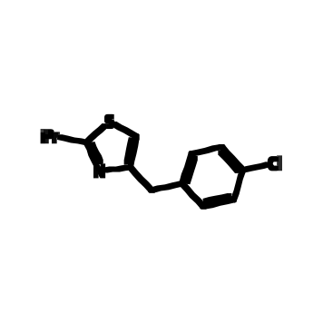 CC(C)c1nc(Cc2ccc(Cl)cc2)cs1